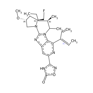 C=C/C(=C\C)c1nc(-c2noc(=O)[nH]2)cc2nc(N3C[C@H](OC)C[C@H]3CF)n(C(C)[C@H](C)CCC)c12